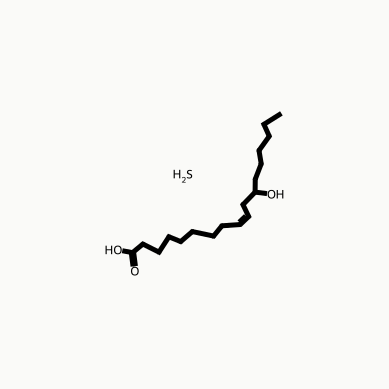 CCCCCCC(O)C/C=C\CCCCCCCC(=O)O.S